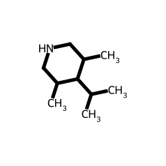 CC(C)C1C(C)CNCC1C